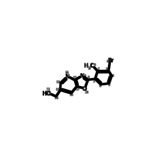 Cc1c(Br)cccc1-c1nc2ncc(CO)cc2o1